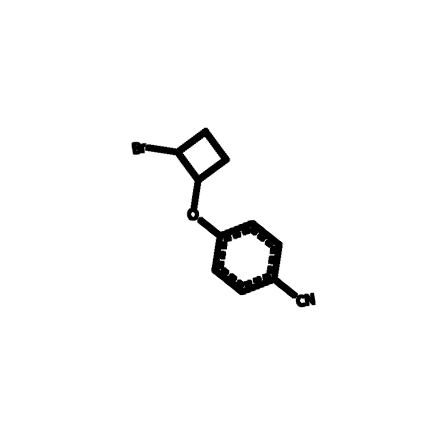 N#Cc1ccc(OC2CCC2Br)cc1